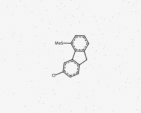 CSc1cccc2c1-c1cc(Cl)ccc1C2